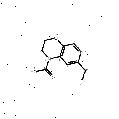 O=C(O)N1CCOc2cnc(CO)cc21